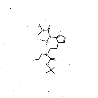 CCCN(CCC1C=CC=C1N(OC)C(=O)N(C)C)C(=O)OC(C)(C)C